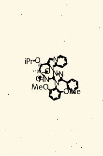 COc1cccc(OC)c1-n1c(NS(=O)(=O)[C@H](C)[C@H](OC(C)C)c2cn3ccccc3n2)nnc1-c1cccnc1